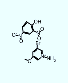 COc1cc(Br)c[n+](N)c1.O=[N+]([O-])c1ccc(O)c([N+](=O)[O-])c1